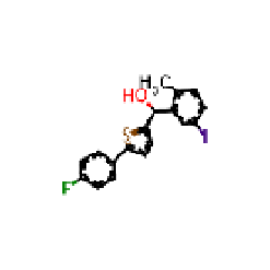 Cc1ccc(I)cc1C(O)c1ccc(-c2ccc(F)cc2)s1